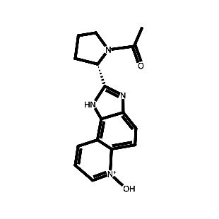 CC(=O)N1CCC[C@H]1c1nc2ccc3c(ccc[n+]3O)c2[nH]1